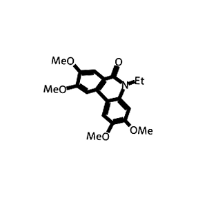 CCn1c(=O)c2cc(OC)c(OC)cc2c2cc(OC)c(OC)cc21